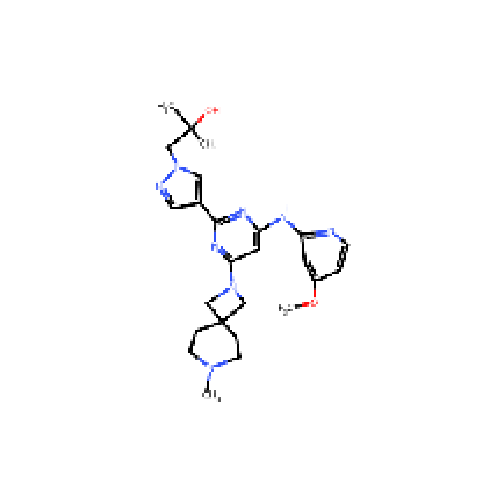 CN1CCC2(CC1)CN(c1cc(Nc3cc(OC(F)(F)F)ccn3)nc(-c3cnn(CC(C)(C)O)c3)n1)C2